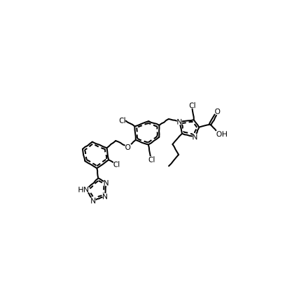 CCCc1nc(C(=O)O)c(Cl)n1Cc1cc(Cl)c(OCc2cccc(-c3nnn[nH]3)c2Cl)c(Cl)c1